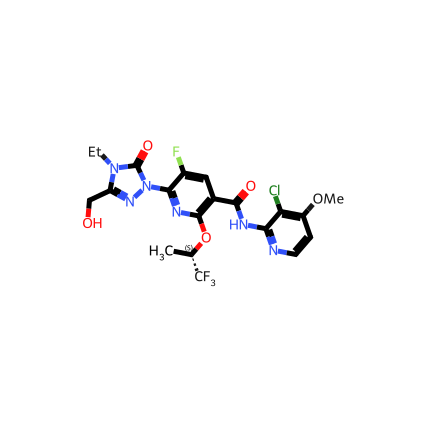 CCn1c(CO)nn(-c2nc(O[C@@H](C)C(F)(F)F)c(C(=O)Nc3nccc(OC)c3Cl)cc2F)c1=O